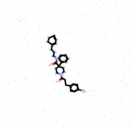 O=C(CCc1ccc(C(F)(F)F)cc1)N1CCC(C(=O)NCCCC2=CC=CCC2)(c2ccccc2)CC1